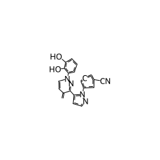 C=C1C=CN(c2cccc(O)c2O)N=C1c1ccnn1-c1cccc(C#N)c1